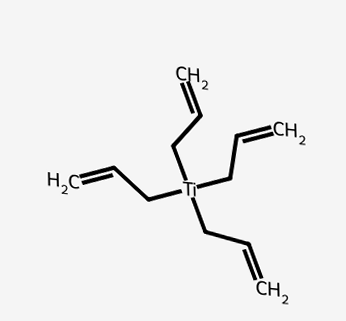 C=C[CH2][Ti]([CH2]C=C)([CH2]C=C)[CH2]C=C